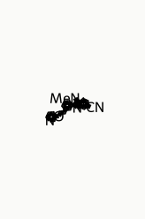 CNc1c(-c2cccc(CCOc3cccnc3)c2)nc2cc(C#N)ccn12